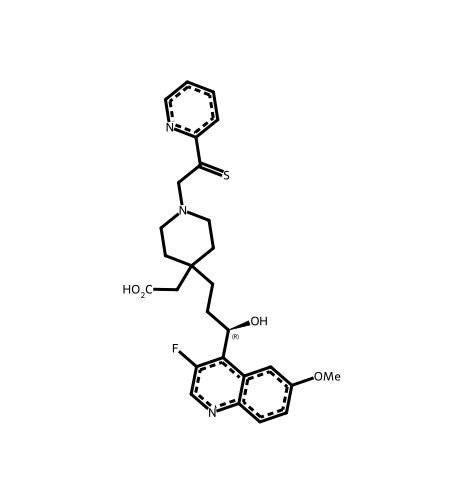 COc1ccc2ncc(F)c([C@H](O)CCC3(CC(=O)O)CCN(CC(=S)c4ccccn4)CC3)c2c1